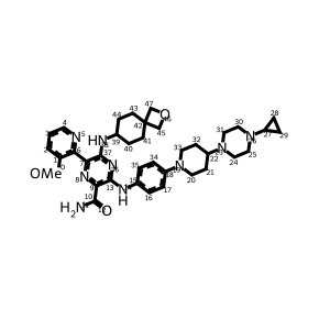 COc1cccnc1-c1nc(C(N)=O)c(Nc2ccc(N3CCC(N4CCN(C5CC5)CC4)CC3)cc2)nc1NC1CCC2(CC1)COC2